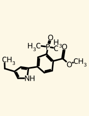 CCc1c[nH]c(-c2ccc(C(=O)OC)c(P(C)(C)=O)c2)c1